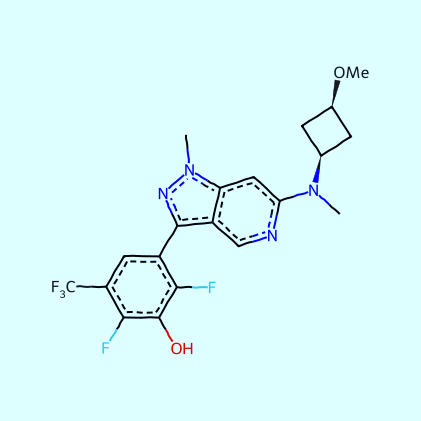 CO[C@H]1C[C@@H](N(C)c2cc3c(cn2)c(-c2cc(C(F)(F)F)c(F)c(O)c2F)nn3C)C1